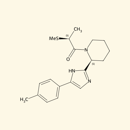 CS[C@@H](C)C(=O)N1CCCC[C@H]1c1ncc(-c2ccc(C)cc2)[nH]1